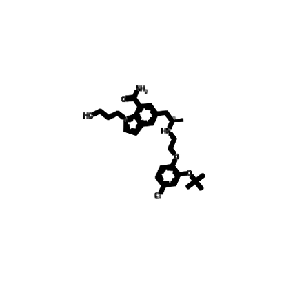 C[C@H](Cc1cc(C(N)=O)c2c(ccn2CCCO)c1)NCCOc1ccc(Cl)cc1OC(C)(C)C